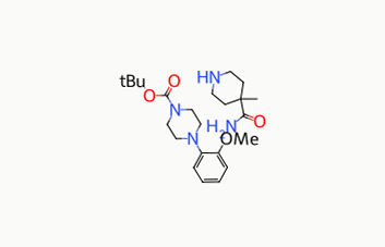 CC1(C(N)=O)CCNCC1.COc1ccccc1N1CCN(C(=O)OC(C)(C)C)CC1